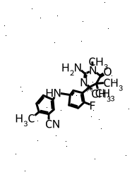 Cc1ccc(Nc2ccc(F)c([C@]3(C)N=C(N)N(C)C(=O)C3(C)C)c2)cc1C#N